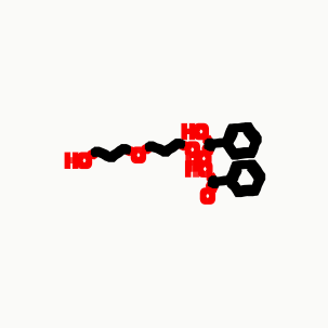 O=C(O)c1ccccc1.O=C(O)c1ccccc1.OCCCOCCCO